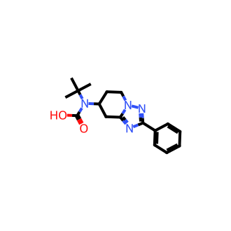 CC(C)(C)N(C(=O)O)C1CCn2nc(-c3ccccc3)nc2C1